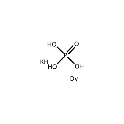 O=P(O)(O)O.[Dy].[KH]